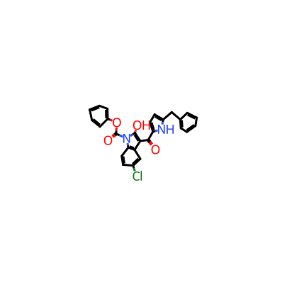 O=C(c1ccc(Cc2ccccc2)[nH]1)c1c(O)n(C(=O)Oc2ccccc2)c2ccc(Cl)cc12